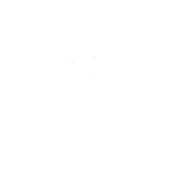 C1CCC(C2C3CCC(C3)C2NC2=NCCN2)CC1